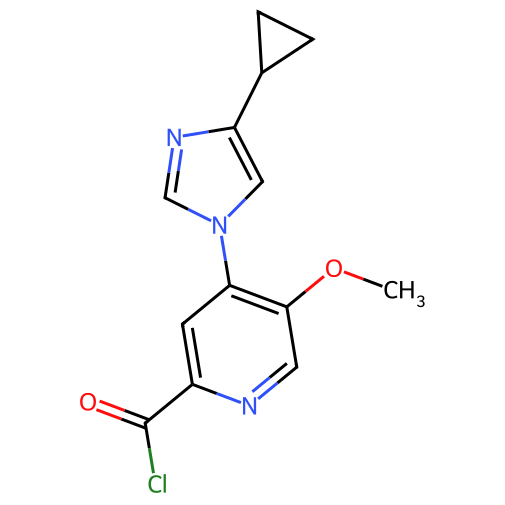 COc1cnc(C(=O)Cl)cc1-n1cnc(C2CC2)c1